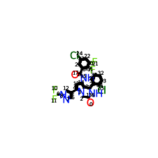 O=C1Cn2c(-c3cnn(C(F)F)c3)cc(NC(=O)c3cc(F)cc(Cl)c3)c2C(c2cc(F)ccc2Cl)N1